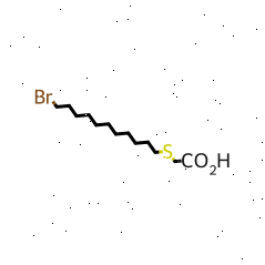 O=C(O)CSCCCCCCCCCCCBr